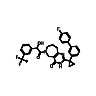 O=C([C@H](O)c1cccc(C(F)(F)F)c1)N1CCCc2nc(C3(c4cccc(-c5ccc(F)cc5)c4)CC3)[nH]c(=O)c2C1